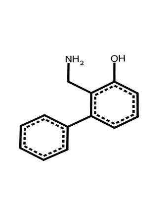 NCc1c(O)cccc1-c1ccccc1